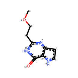 COCCc1nc2cc[nH]c2c(=O)[nH]1